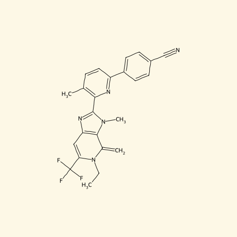 C=C1c2c(nc(-c3nc(-c4ccc(C#N)cc4)ccc3C)n2C)C=C(C(F)(F)F)N1CC